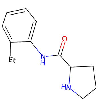 CCc1ccccc1NC(=O)C1CCCN1